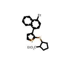 CCOC(=O)C1CCCC1Sc1sccc1-c1ccc(CC)c2ccccc12